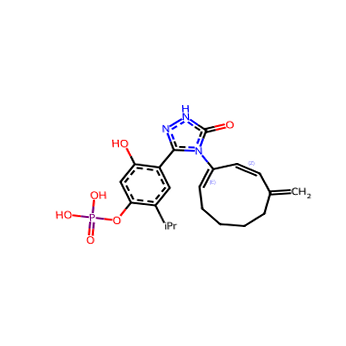 C=C1/C=C\C(n2c(-c3cc(C(C)C)c(OP(=O)(O)O)cc3O)n[nH]c2=O)=C/CCCC1